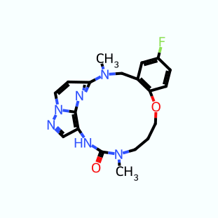 CN1CCCOc2ccc(F)cc2CN(C)c2ccn3ncc(c3n2)NC1=O